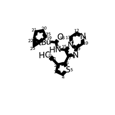 C#Cc1ccsc1-c1nc2cnccn2c1NC(=O)C(C)(C)C.c1cc2cc-2c1